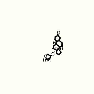 C[C@]12CCC(=O)C=C1C=C[C@H]1[C@@H]3CCC[C@@]3(COC3CO[C@H]4OC34)CC[C@@H]12